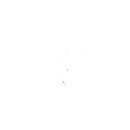 COC(=O)c1cccc(Cc2c(-c3ccsc3)[nH]c3cc(C4CC4)c(F)cc23)n1